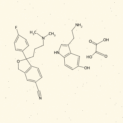 CN(C)CCCC1(c2ccc(F)cc2)OCc2cc(C#N)ccc21.NCCc1c[nH]c2ccc(O)cc12.O=C(O)C(=O)O